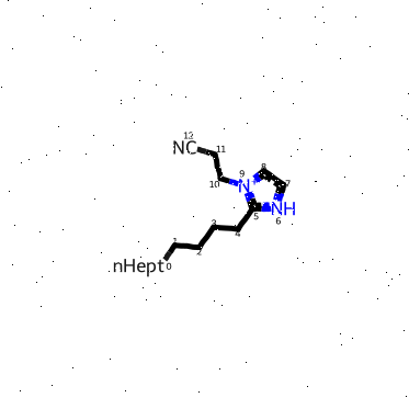 CCCCCCCCCCCc1[nH]cc[n+]1CCC#N